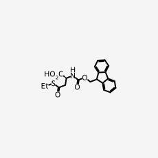 CCSC(=O)C[C@H](NC(=O)OCC1c2ccccc2-c2ccccc21)C(=O)O